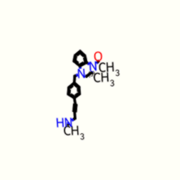 CNCC#Cc1ccc(CN2C[C@H](C)N(C(C)=O)c3ccccc32)cc1